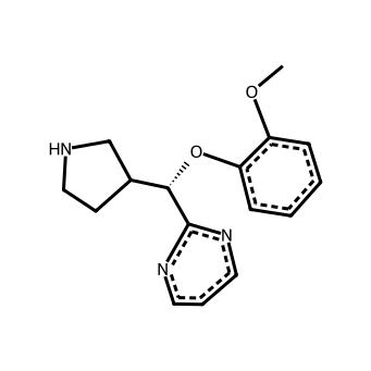 COc1ccccc1O[C@H](c1ncccn1)C1CCNC1